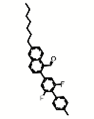 CCCCCCCc1ccc2c(C=O)c(-c3cc(F)c(-c4ccc(C)cc4)c(F)c3)ccc2c1